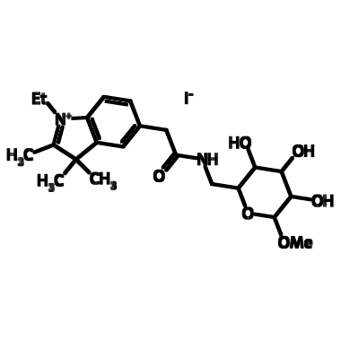 CC[N+]1=C(C)C(C)(C)c2cc(CC(=O)NCC3OC(OC)C(O)C(O)C3O)ccc21.[I-]